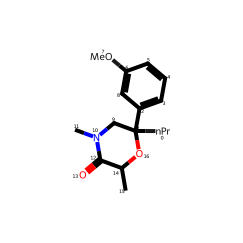 CCCC1(c2cccc(OC)c2)CN(C)C(=O)C(C)O1